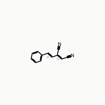 N#C/C=C(C#N)/C=C/c1ccccc1